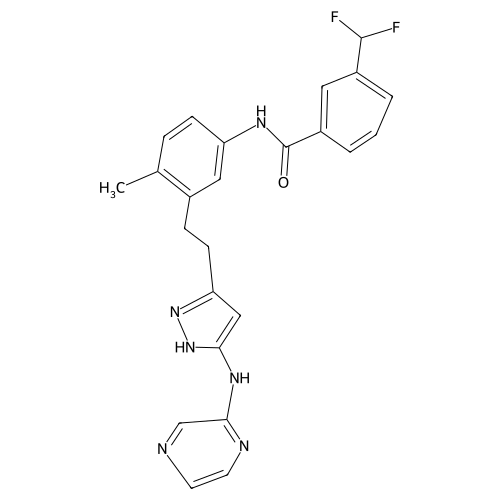 Cc1ccc(NC(=O)c2cccc(C(F)F)c2)cc1CCc1cc(Nc2cnccn2)[nH]n1